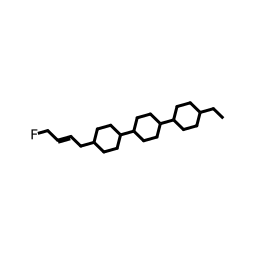 CCC1CCC(C2CCC(C3CCC(C/C=C/CF)CC3)CC2)CC1